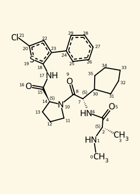 CN[C@@H](C)C(=O)N[C@H](C(=O)N1CCC[C@H]1C(=O)Nc1sc(Cl)cc1-c1ccccc1)C1CCCCC1